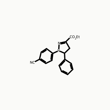 CCOC(=O)C1=NN(c2ccc(C#N)cc2)C(c2ccccc2)C1